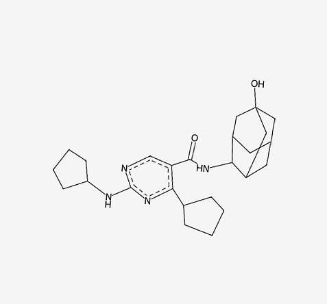 O=C(NC1C2CC3CC1CC(O)(C3)C2)c1cnc(NC2CCCC2)nc1C1CCCC1